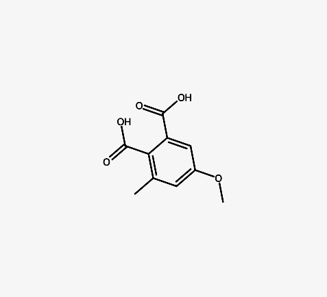 COc1cc(C)c(C(=O)O)c(C(=O)O)c1